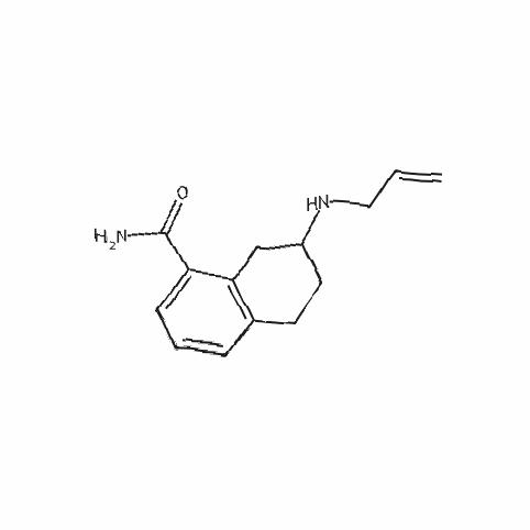 C=CCNC1CCc2cccc(C(N)=O)c2C1